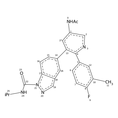 CC(=O)Nc1cnc(-c2ccc(F)c(C)c2)c(-c2ccc3c(cnn3C(=O)NC(C)C)c2)c1